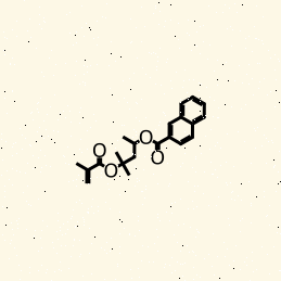 C=C(C)C(=O)OC(C)(C)CC(C)OC(=O)c1ccc2ccccc2c1